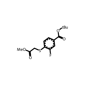 COC(=O)CSc1ccc(C(=O)OC(C)(C)C)cc1F